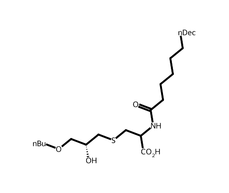 CCCCCCCCCCCCCCCC(=O)NC(CSC[C@H](O)COCCCC)C(=O)O